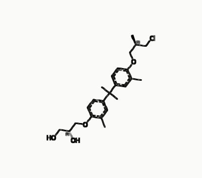 Cc1cc(C(C)(C)c2ccc(OC[C@H](O)CO)c(C)c2)ccc1OC[C@@H](C)CCl